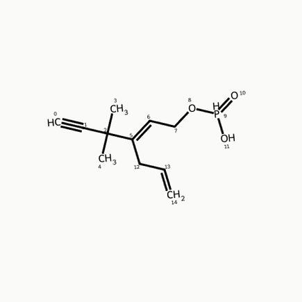 C#CC(C)(C)C(=CCO[PH](=O)O)CC=C